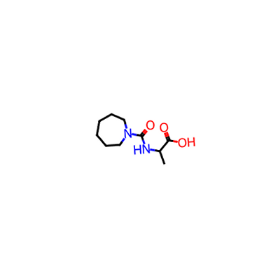 CC(NC(=O)N1CCCCCC1)C(=O)O